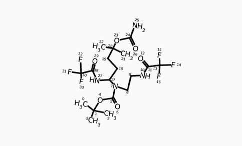 CC(C)(C)OC(=O)N(CCNC(=O)C(F)(F)F)C(CCC(C)(C)OC(N)=O)NC(=O)C(F)(F)F